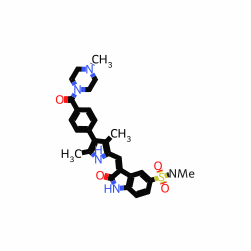 CNS(=O)(=O)c1ccc2c(c1)/C(=C/c1[nH]c(C)c(-c3ccc(C(=O)N4CCN(C)CC4)cc3)c1C)C(=O)N2